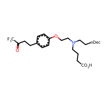 CCCCCCCCCCCCN(CCCC(=O)O)CCOc1ccc(CCC(=O)C(F)(F)F)cc1